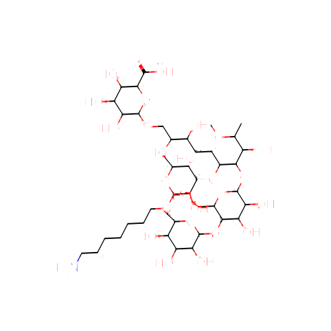 COC(C)C(O)C(OC1OC(CO)C(OC2OC(C)C(O)C(O)C2O)C(O)C1O)C(C[C@@H](O)C(O)C(O)COC1OC(C(=O)O)C(O)C(O)C1O)O[C@H]1CC(C)OC(OCCCCCCCN)C1O